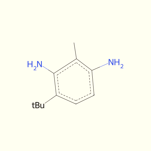 Cc1c(N)ccc(C(C)(C)C)c1N